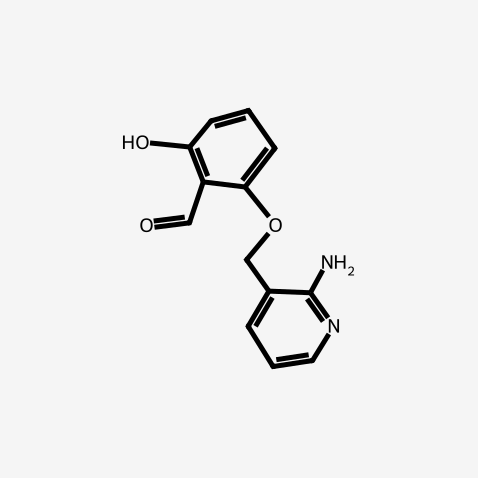 Nc1ncccc1COc1cccc(O)c1C=O